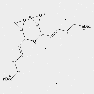 CCCCCCCCCCCC/C=C/C(OC(/C=C/CCCCCCCCCCCC)C1CO1)C1CO1